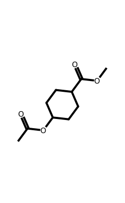 COC(=O)C1CCC(OC(C)=O)CC1